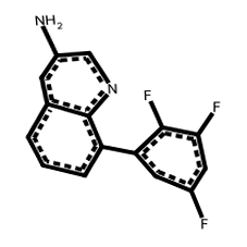 Nc1cnc2c(-c3cc(F)cc(F)c3F)cccc2c1